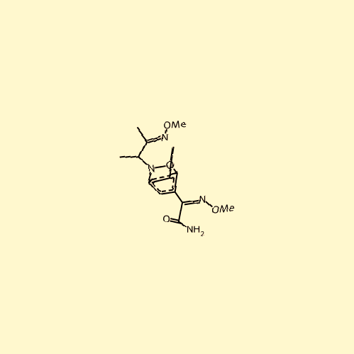 CON=C(C(N)=O)c1cc2cc(C)c1ON2C(C)C(C)=NOC